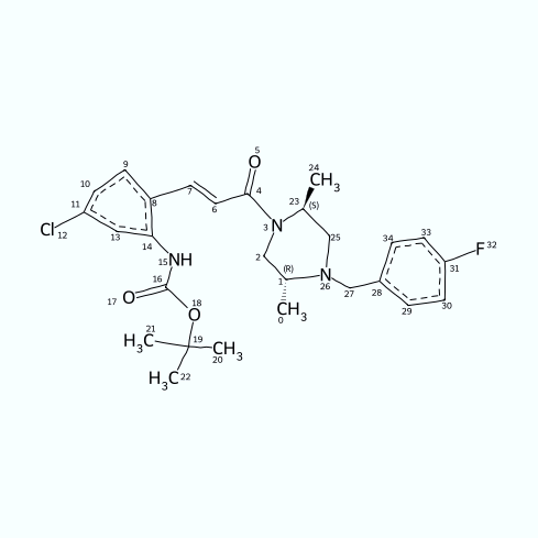 C[C@@H]1CN(C(=O)C=Cc2ccc(Cl)cc2NC(=O)OC(C)(C)C)[C@@H](C)CN1Cc1ccc(F)cc1